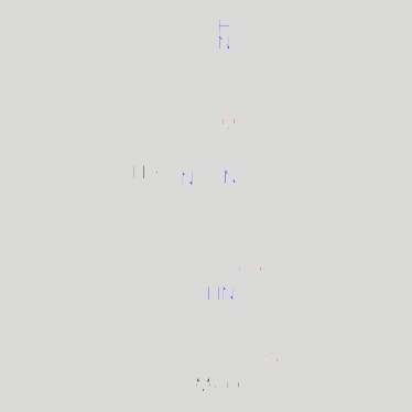 COC(=O)CCNC(=O)c1ccc2c(c1)nc(COC1CCNCC1)n2C